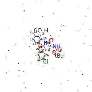 CC(C)(C)OC(=O)NC1CCCN(Cc2cc(CC(=O)O)ccc2OCc2ccc(Cl)cc2)C1=O